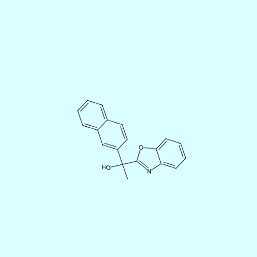 CC(O)(c1ccc2ccccc2c1)c1nc2ccccc2o1